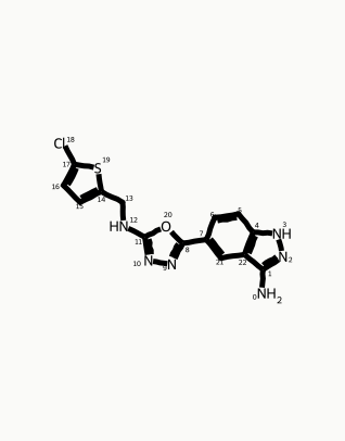 Nc1n[nH]c2ccc(-c3nnc(NCc4ccc(Cl)s4)o3)cc12